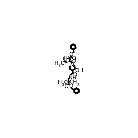 CC(C)C[C@H](NC(=O)OCc1ccccc1)C(=O)N1CCC(C(=O)CNCC(C)(C)C(=O)OCc2ccccc2)C(O)C1